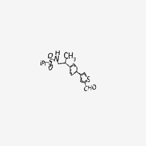 CC(CNS(=O)(=O)C(C)C)c1ccc(-c2csc(C=O)c2)cc1